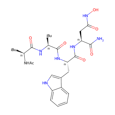 CCC(C)[C@H](NC(C)=O)C(=O)N[C@H](C(=O)N[C@@H](Cc1c[nH]c2ccccc12)C(=O)N[C@@H](CC(=O)NO)C(N)=O)C(C)CC